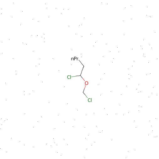 CCCCC(Cl)OCCl